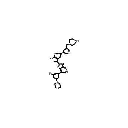 Fc1cc(-c2cncc3[nH]c(-c4n[nH]c5ncc(-c6cncc(CN7CCNCC7)c6)cc45)nc23)cc(N2CCOCC2)c1